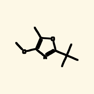 COc1nc(C(C)(C)C)oc1C